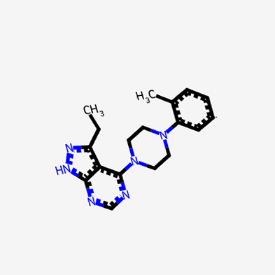 CCc1n[nH]c2ncnc(N3CCN(c4c[c]ccc4C)CC3)c12